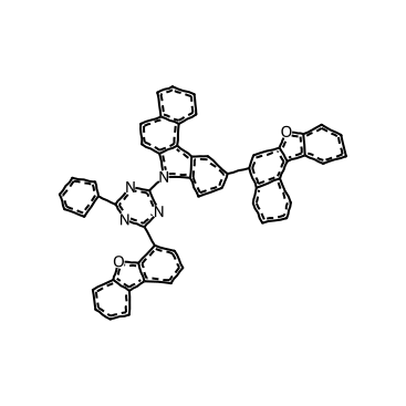 c1ccc(-c2nc(-c3cccc4c3oc3ccccc34)nc(-n3c4ccc(-c5cc6oc7ccccc7c6c6ccccc56)cc4c4c5ccccc5ccc43)n2)cc1